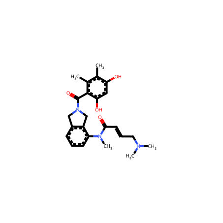 Cc1c(O)cc(O)c(C(=O)N2Cc3cccc(N(C)C(=O)/C=C/CN(C)C)c3C2)c1C